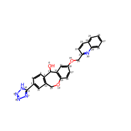 OC1c2ccc(-c3nnn[nH]3)cc2COc2ccc(OCc3ccc4ccccc4n3)cc21